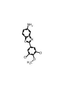 COc1c(Cl)cc(-c2nc3cc(N)ccc3o2)cc1Cl